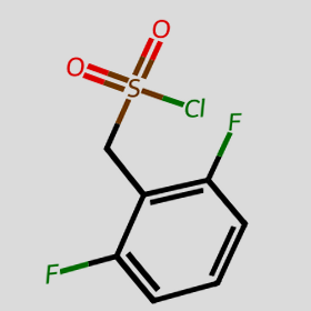 O=S(=O)(Cl)Cc1c(F)cccc1F